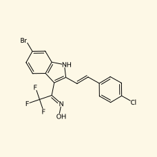 O/N=C(/c1c(/C=C/c2ccc(Cl)cc2)[nH]c2cc(Br)ccc12)C(F)(F)F